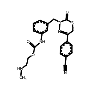 CNCCOC(=O)Nc1cccc(CN2N=C(c3ccc(C#N)cc3)CSC2=O)c1